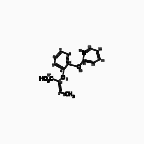 C/C=C(\Oc1ccccc1Oc1ccccn1)C(=O)O